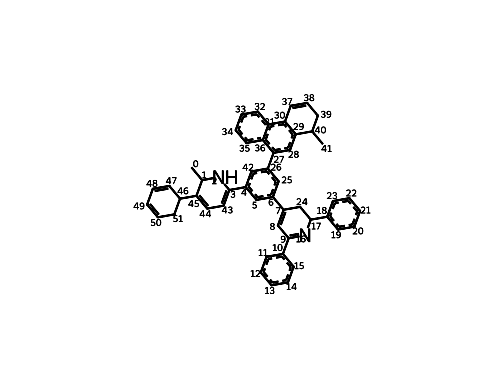 CC1NC(c2cc(C3=CC(c4ccccc4)=NC(c4ccccc4)C3)cc(-c3cc4c(c5ccccc35)C=CCC4C)c2)=CC=C1C1C=CC=CC1